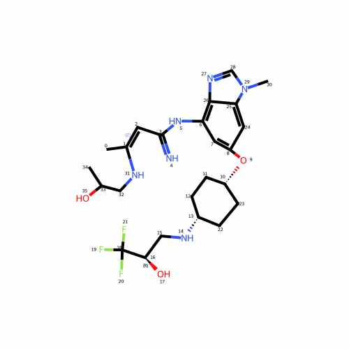 C/C(=C/C(=N)Nc1cc(O[C@H]2CC[C@@H](NC[C@@H](O)C(F)(F)F)CC2)cc2c1ncn2C)NCC(C)O